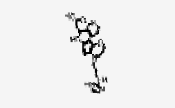 O=C(O)CC(Nc1ccc2c(c1)OCCN2CCCNc1ncc[nH]1)c1cccnc1